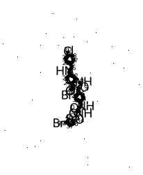 O=C(Nc1ccc(-n2c(=O)[nH]c3cc(NCc4ccc(Cl)cc4)ccc3c2=O)c(Br)c1)NS(=O)(=O)c1ccc(Br)s1